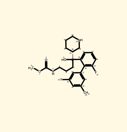 COC(=O)NCCCC(O)(c1cccc(F)c1-c1cc(C)cc(F)c1)[C@@H]1CCCNC1